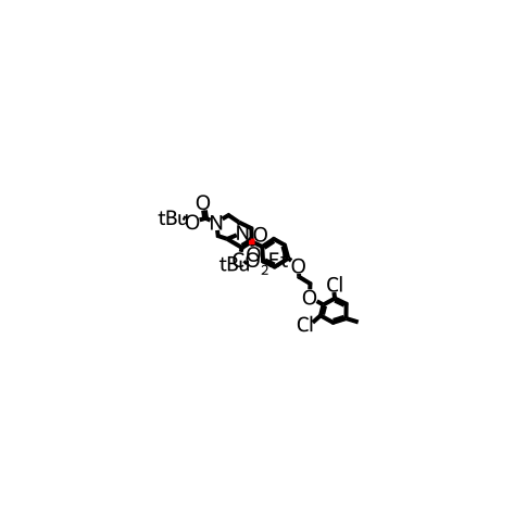 CCOC(=O)C1=C(c2ccc(OCCOc3c(Cl)cc(C)cc3Cl)cc2)CC2CN(C(=O)OC(C)(C)C)CC1N2C(=O)OC(C)(C)C